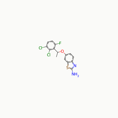 CC(Oc1ccc2nc(N)sc2c1)c1c(F)ccc(Cl)c1Cl